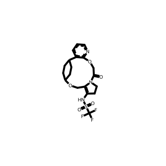 O=C1COc2ncccc2C2CCC(CC2)OCC2=C(NS(=O)(=O)C(F)(F)F)CCN12